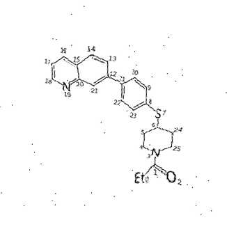 CCC(=O)N1CCC(Sc2ccc(-c3ccc4cccnc4c3)cc2)CC1